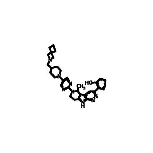 CC1c2c([nH]c3nnc(-c4ccccc4O)cc23)CCN1c1ncc(N2CCC(CN3CC4(CCC4)C3)CC2)cn1